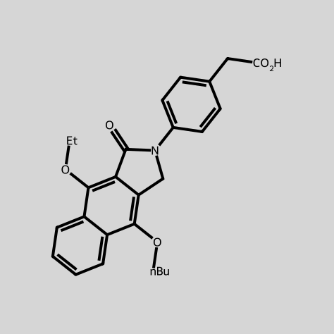 CCCCOc1c2c(c(OCC)c3ccccc13)C(=O)N(c1ccc(CC(=O)O)cc1)C2